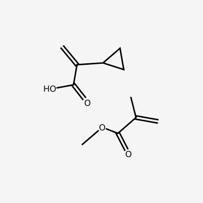 C=C(C(=O)O)C1CC1.C=C(C)C(=O)OC